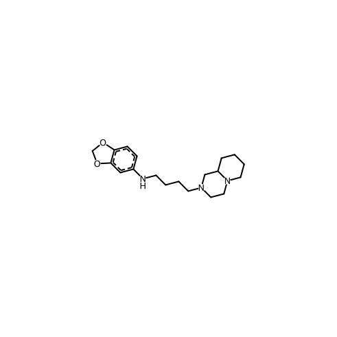 c1cc2c(cc1NCCCCN1CCN3CCCCC3C1)OCO2